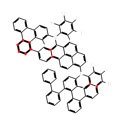 [2H]c1c([2H])c([2H])c(N(c2ccc(-c3ccccc3-c3ccccc3)c(-c3ccccc3-c3ccccc3)c2F)c2ccc3ccc4c(N(c5ccc(-c6ccccc6-c6ccccc6)c(-c6ccccc6-c6ccccc6)c5F)c5c([2H])c([2H])c([2H])c([2H])c5[2H])ccc5ccc2c3c54)c([2H])c1[2H]